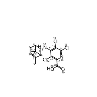 CC1=CCC2CC1C2(C)C.Nc1c(Cl)c(Cl)nc(C(=O)O)c1Cl